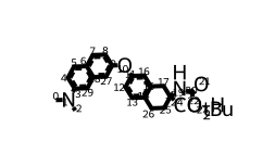 CN(C)c1ccc2ccc(Oc3ccc4c(c3)CC(NC(=O)OC(C)(C)C)(C(=O)O)CC4)cc2c1